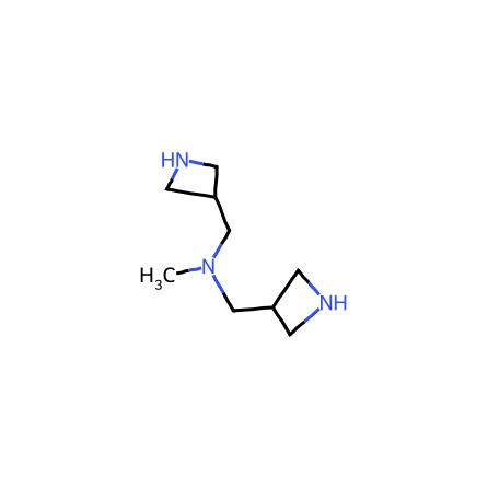 CN(CC1CNC1)CC1CNC1